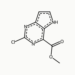 COC(=O)c1nc(Cl)nc2cc[nH]c12